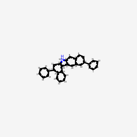 c1ccc(-c2ccc3cc4[nH]c5cc(-c6ccccc6)c6ccccc6c5c4cc3c2)cc1